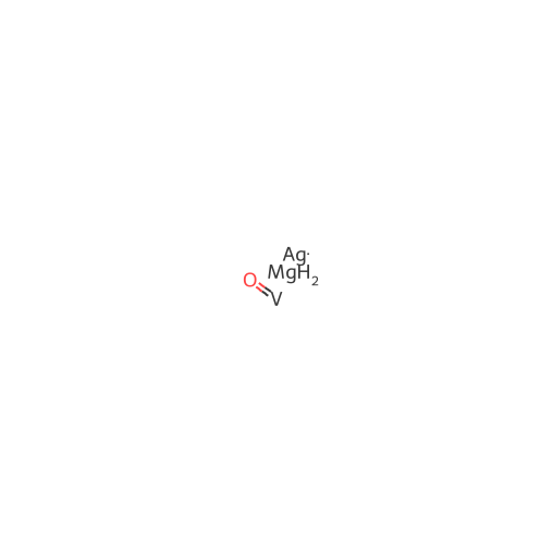 [Ag].[MgH2].[O]=[V]